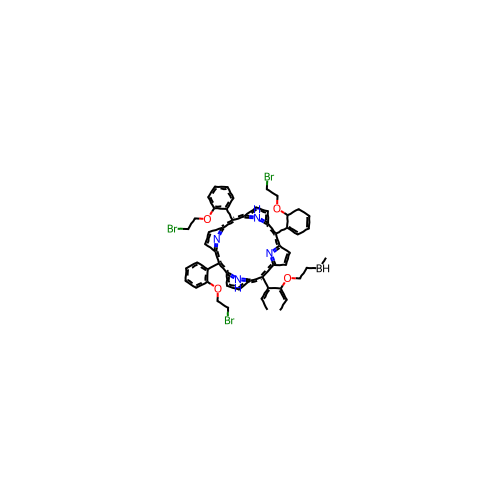 CBCCOC(=C/C)/C(=C\C)c1c2nc(c(C3=CC=CCC3OCCBr)c3ccc([nH]3)c(-c3ccccc3OCCBr)c3nc(c(-c4ccccc4OCCBr)c4ccc1[nH]4)C=C3)C=C2